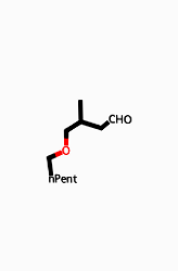 CCCCCCOCC(C)CC=O